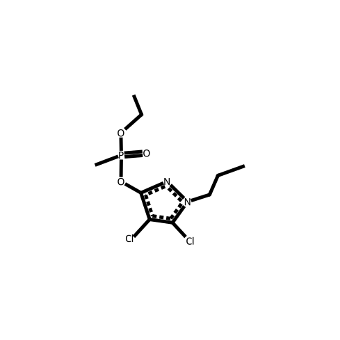 CCCn1nc(OP(C)(=O)OCC)c(Cl)c1Cl